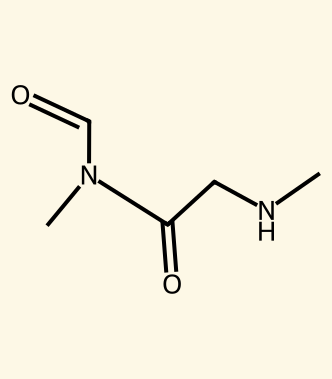 CNCC(=O)N(C)C=O